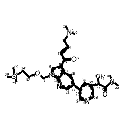 CN(C)CC=CC(=O)c1cn(COCC[Si](C)(C)C)c2ncc(-c3cncc(C(O)C(=O)N(C)C)c3)cc12